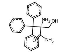 NC(=O)[C@](N)(CO)C(c1ccccc1)(c1ccccc1)c1ccccc1